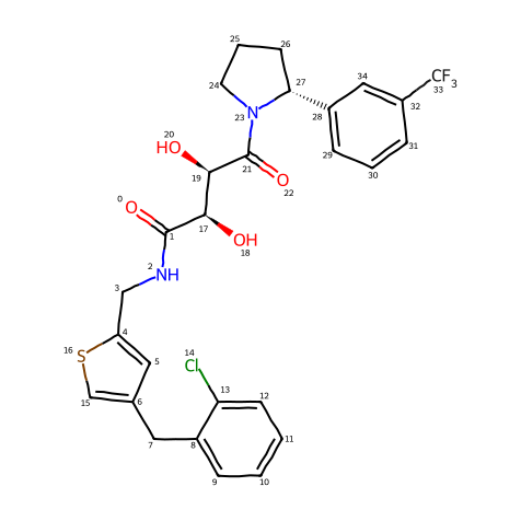 O=C(NCc1cc(Cc2ccccc2Cl)cs1)[C@H](O)[C@@H](O)C(=O)N1CCC[C@@H]1c1cccc(C(F)(F)F)c1